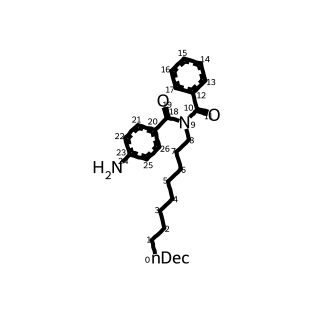 CCCCCCCCCCCCCCCCCCN(C(=O)c1ccccc1)C(=O)c1ccc(N)cc1